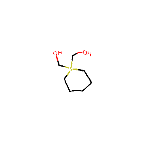 OCS1(CO)CCCCC1